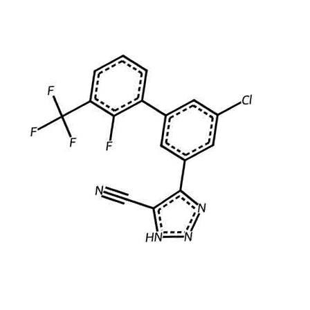 N#Cc1[nH]nnc1-c1cc(Cl)cc(-c2cccc(C(F)(F)F)c2F)c1